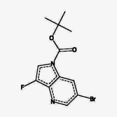 CC(C)(C)OC(=O)n1cc(F)c2ncc(Br)cc21